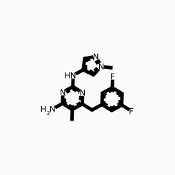 Cc1c(N)nc(Nc2cnn(C)c2)nc1Cc1cc(F)cc(F)c1